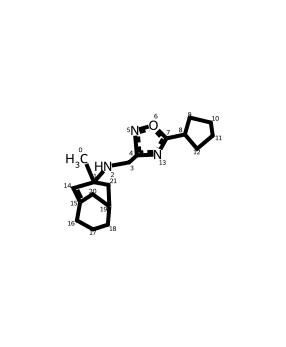 CC1(NCc2noc(C3CCCC3)n2)C=C2CCCC(C2)C1